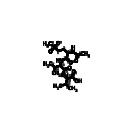 CC(=O)NC(CCS(C)(=O)=O)C(=O)NC(C(=O)NC(C(=O)O)C(C)C)C(C)C